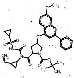 C=CC1CC1N(C(=O)NS(=O)(=O)C1CC1)C(=O)C1CC(Oc2cc(-c3ccccc3)nc3cc(OC)ccc23)CN1C(=O)OC(C)(C)C